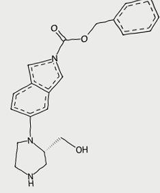 O=C(OCc1ccccc1)n1cc2ccc(N3CCNC[C@H]3CO)cc2c1